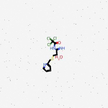 N=C(CCSCc1ccccn1)NC(=O)C(Cl)(Cl)Cl.O